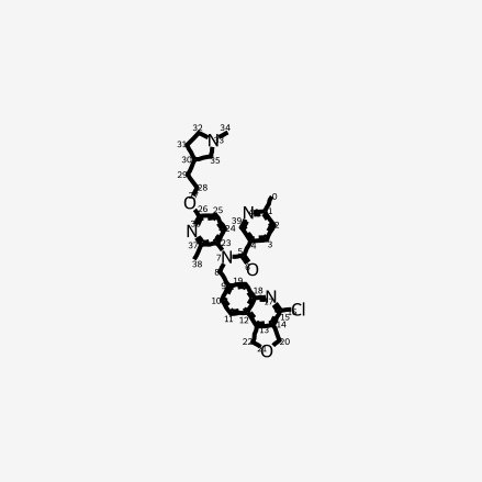 Cc1ccc(C(=O)N(Cc2ccc3c4c(c(Cl)nc3c2)COC4)c2ccc(OCCC3CCN(C)C3)nc2C)cn1